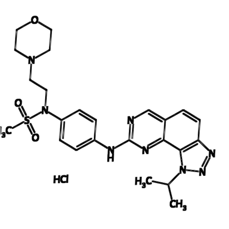 CC(C)n1nnc2ccc3cnc(Nc4ccc(N(CCN5CCOCC5)S(C)(=O)=O)cc4)nc3c21.Cl